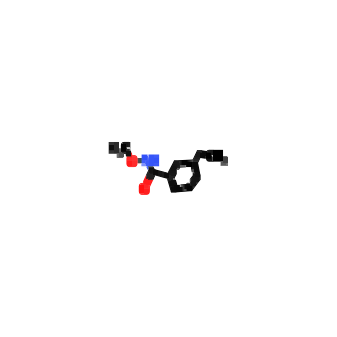 C=Cc1cccc(C(=O)NOC)c1